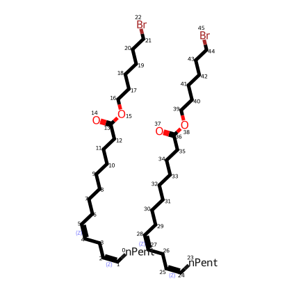 CCCCC/C=C\C/C=C\CCCCCCCC(=O)OCCCCCCBr.CCCCC/C=C\C/C=C\CCCCCCCC(=O)OCCCCCCBr